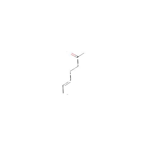 CCCCC/C=C/CCC(=O)CC